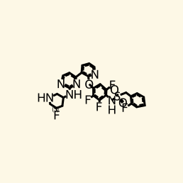 O=S(=O)(Cc1ccccc1F)Nc1c(F)cc(Oc2ncccc2-c2ccnc(NC3CNC[C@@H](F)C3)n2)c(F)c1F